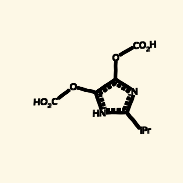 CC(C)c1nc(OC(=O)O)c(OC(=O)O)[nH]1